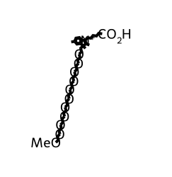 COCCOCCOCCOCCOCCOCCOCCOCCOCCOCCOCCC1(C)C(C)=[N+](CCCCCC(=O)O)c2ccc(C)cc21